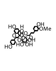 COc1cc(C=CC(=O)C(O)[C@H]2O[C@@H](Oc3c(-c4ccc(O)cc4)oc4cc(O)cc(O)c4c3=O)[C@H](O)[C@@H](O)[C@@H]2O)ccc1O